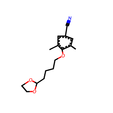 Cc1cc(C#N)cc(C)c1OCCCCC1OCCO1